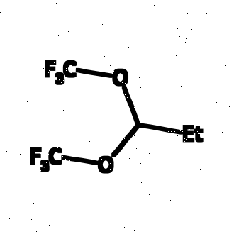 CCC(OC(F)(F)F)OC(F)(F)F